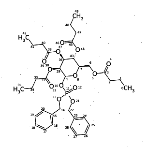 CCCC(=O)OC[C@H]1OC(OP(=O)(OCc2ccccc2)OCc2ccccc2)[C@@H](OC(=O)CCC)[C@@H](OC(=O)CCC)[C@@H]1OC(=O)CCC